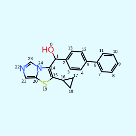 OC(c1ccc(-c2ccccc2)cc1)c1c(C2CC2)sc2cncn12